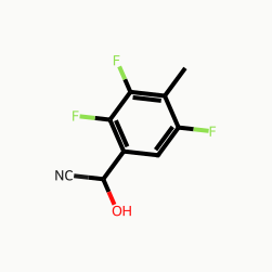 Cc1c(F)cc(C(O)C#N)c(F)c1F